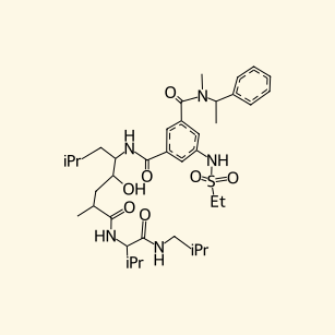 CCS(=O)(=O)Nc1cc(C(=O)NC(CC(C)C)C(O)CC(C)C(=O)NC(C(=O)NCC(C)C)C(C)C)cc(C(=O)N(C)C(C)c2ccccc2)c1